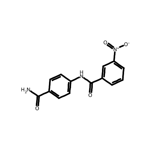 NC(=O)c1ccc(NC(=O)c2cccc([N+](=O)[O-])c2)cc1